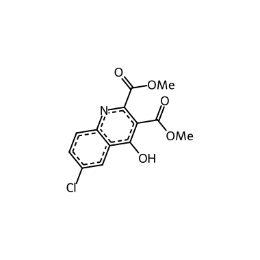 COC(=O)c1nc2ccc(Cl)cc2c(O)c1C(=O)OC